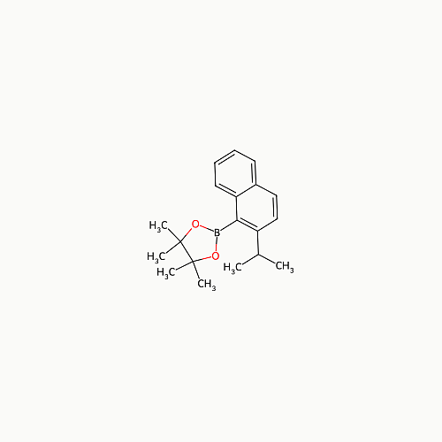 CC(C)c1ccc2ccccc2c1B1OC(C)(C)C(C)(C)O1